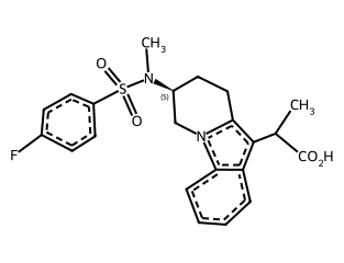 CC(C(=O)O)c1c2n(c3ccccc13)C[C@@H](N(C)S(=O)(=O)c1ccc(F)cc1)CC2